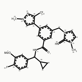 COc1cc(C(NC(=O)c2cc(Cn3ccn(C)c3=N)cc(-c3cn(C)nc3C(F)(F)F)c2)C2CC2)ccc1F